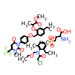 CCOCN(C(=O)CCl)c1c(C)cccc1CC.CCc1ccc(COc2ccc(-n3c(=O)cc(C(F)(F)F)n(C)c3=O)cc2)c(OC(C)C(=O)OC)c1.CP(=O)(O)CCC(N)C(=O)O